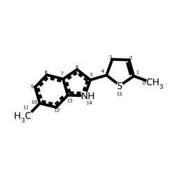 CC1=CCC(c2cc3ccc(C)cc3[nH]2)S1